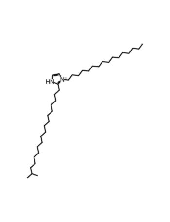 CCCCCCCCCCCCCCCC[n+]1cc[nH]c1CCCCCCCCCCCCCCCCC(C)C